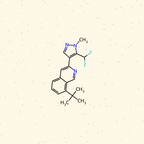 Cn1ncc(-c2cc3cccc(C(C)(C)C)c3cn2)c1C(F)F